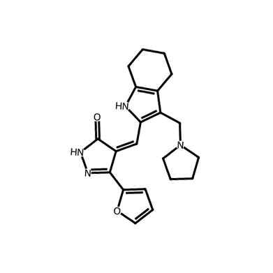 O=C1NN=C(c2ccco2)C1=Cc1[nH]c2c(c1CN1CCCC1)CCCC2